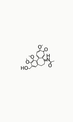 COc1c(CO)cc2c(c1OC)-c1ccc(OC)c(=O)cc1[C@@H](NC(C)=O)CC2